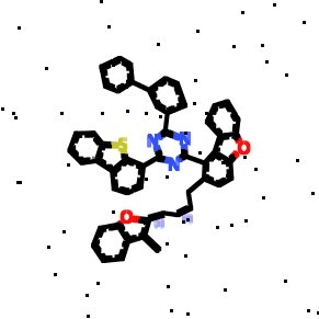 C=c1/c(=C\C=C/Cc2ccc3oc4ccccc4c3c2-c2nc(-c3cccc(-c4ccccc4)c3)nc(-c3cccc4c3sc3ccccc34)n2)oc2ccccc12